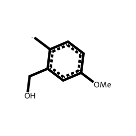 [CH2]c1ccc(OC)cc1CO